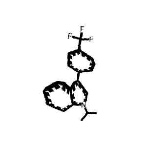 CC(C)n1cc(-c2ccc(C(F)(F)F)cc2)c2ccccc21